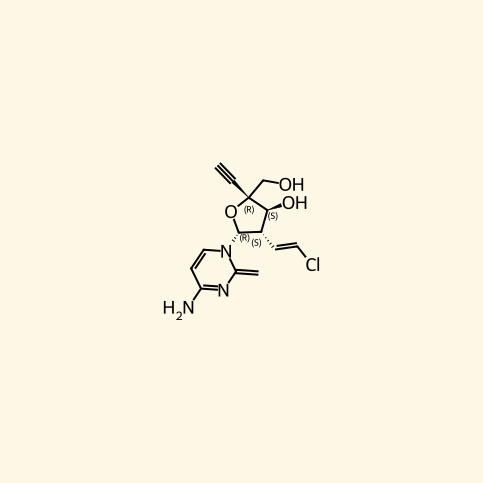 C#C[C@]1(CO)O[C@@H](N2C=CC(N)=NC2=C)[C@@H](C=CCl)[C@@H]1O